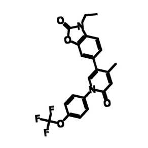 CCn1c(=O)oc2cc(-c3cn(-c4ccc(OC(F)(F)F)cc4)c(=O)cc3C)ccc21